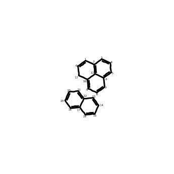 C1=Cc2cccc3cccc(c23)C1.[c]1cccc2ccccc12